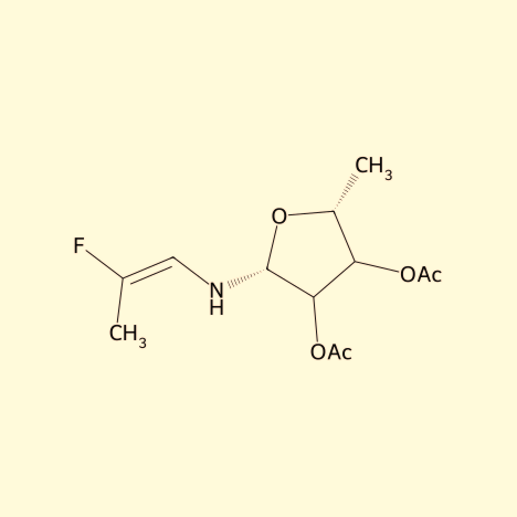 CC(=O)OC1C(OC(C)=O)[C@@H](C)O[C@H]1N/C=C(\C)F